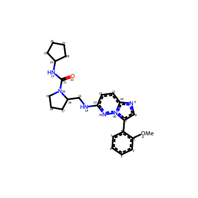 COc1ccccc1-c1cnc2ccc(NCC3CCCN3C(=O)NC3CCCC3)nn12